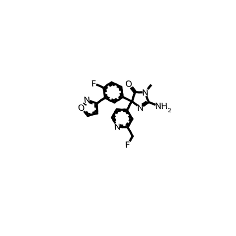 CN1C(=O)C(c2ccnc(CF)c2)(c2ccc(F)c(-c3ccon3)c2)N=C1N